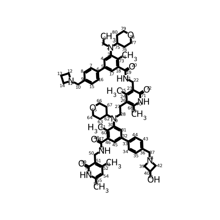 CCN(c1cc(-c2ccc(CN3CCC3)cc2)cc(C(=O)NCc2c(C)c(CCN(c3cc(-c4ccc(CN5CC(O)C5)cc4)cc(C(=O)NCc4c(C)cc(C)[nH]c4=O)c3C)C3CCOCC3)c(C)[nH]c2=O)c1C)C1CCOCC1